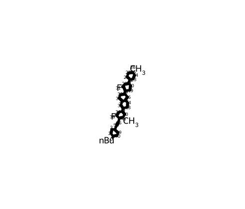 CCCCc1ccc(C#Cc2c(C)cc(-c3ccc4cc(-c5ccc(-c6ccc(C)cc6)cc5F)ccc4c3)cc2F)cc1